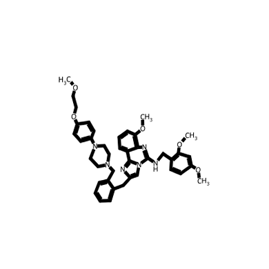 COCCOc1ccc(N2CCN(Cc3ccccc3Cc3cn4c(NCc5ccc(OC)cc5OC)nc5c(OC)cccc5c4n3)CC2)cc1